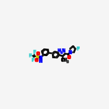 C[C@@H](c1ccc(-c2cccc(NS(=O)(=O)C(F)(F)F)c2)cc1)[C@H](N)C(=O)N1CC[C@H](F)C1